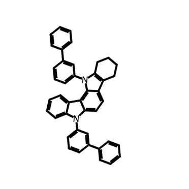 c1ccc(-c2cccc(-n3c4c(c5ccc6c(c7ccccc7n6-c6cccc(-c7ccccc7)c6)c53)CCCC4)c2)cc1